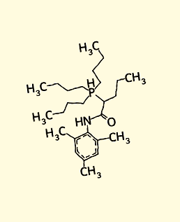 CCCC[PH](CCCC)(CCCC)C(CCC)C(=O)Nc1c(C)cc(C)cc1C